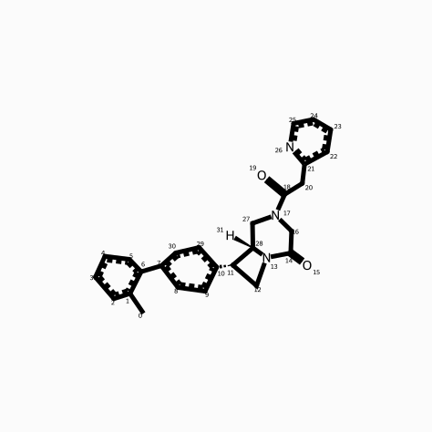 Cc1ccccc1-c1ccc([C@H]2CN3C(=O)CN(C(=O)Cc4ccccn4)C[C@@H]23)cc1